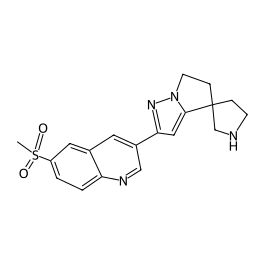 CS(=O)(=O)c1ccc2ncc(-c3cc4n(n3)CCC43CCNC3)cc2c1